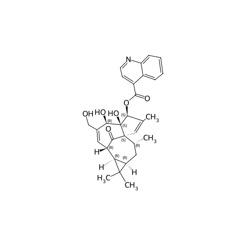 CC1=C[C@]23C(=O)[C@@H](C=C(CO)[C@@H](O)[C@]2(O)[C@H]1OC(=O)c1ccnc2ccccc12)[C@H]1[C@@H](C[C@H]3C)C1(C)C